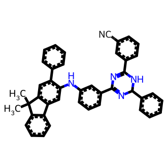 CC1(C)c2ccccc2-c2cc(Nc3cccc(C4=NC(c5ccccc5)NC(c5cccc(C#N)c5)=N4)c3)c(-c3ccccc3)cc21